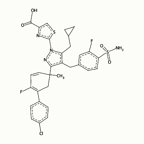 CC1(c2nn(-c3nc(C(=O)O)cs3)c(CC3CC3)c2Cc2ccc(S(N)(=O)=O)c(F)c2)C=CC(F)=C(c2ccc(Cl)cc2)C1